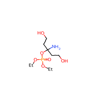 CCOP(=O)(OCC)OC(N)(CCO)CCO